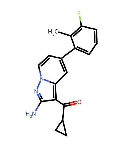 Cc1c(F)cccc1-c1ccn2nc(N)c(C(=O)C3CC3)c2c1